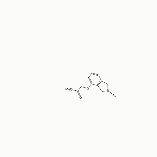 COC(=O)COc1cccc2c1CN(C(C)=O)C2